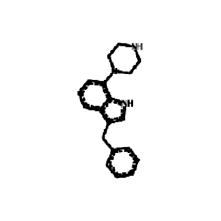 c1ccc(Cc2c[nH]c3c(N4CCNCC4)cccc23)cc1